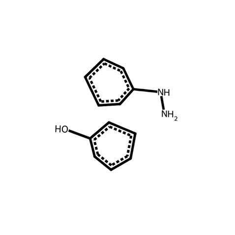 NNc1ccccc1.Oc1ccccc1